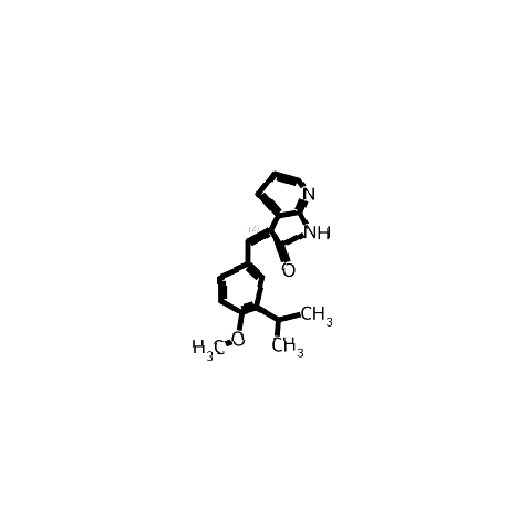 COc1ccc(/C=C2\C(=O)Nc3ncccc32)cc1C(C)C